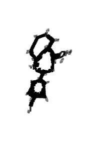 Oc1nc(-c2ccc(I)cc2)nc2c1CSCC2